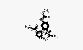 COC(=O)Nc1ccc(S(=O)(=O)C(C)C)c([C@H]2NCC[C@H]2C(=O)OC)c1